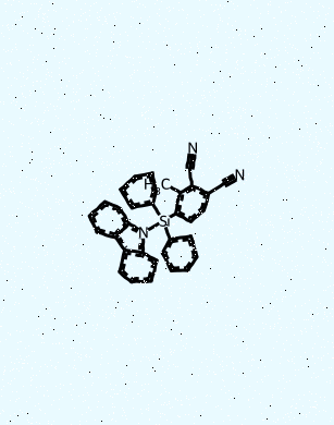 Cc1c([Si](c2ccccc2)(c2ccccc2)n2c3ccccc3c3ccccc32)ccc(C#N)c1C#N